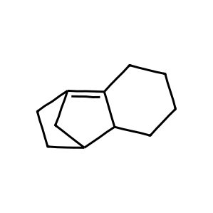 C1CCC2C(=C3CCC2C3)C1